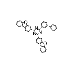 c1ccc(-c2cccc(-c3nc(-c4ccc5c(c4)oc4ccccc45)nc(-c4ccc5c(c4)oc4ccccc45)n3)c2)cc1